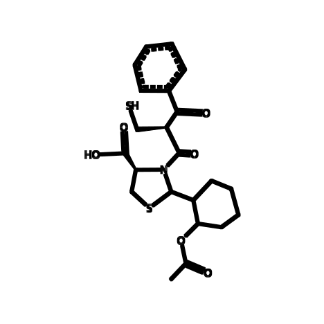 CC(=O)OC1CCCCC1C1SC[C@@H](C(=O)O)N1C(=O)[C@@H](CS)C(=O)c1ccccc1